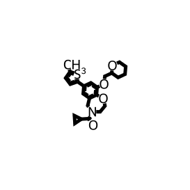 Cc1ccc(-c2cc3c(c(OCC4CCCCO4)c2)OCCN(C(=O)C2CC2)C3)s1